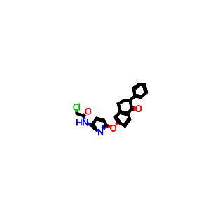 O=C(CCl)Nc1ccc(Oc2ccc3c(c2)CCC(c2ccccc2)C3=O)nc1